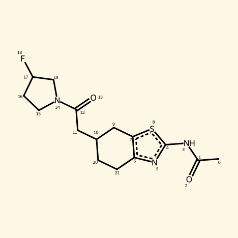 CC(=O)Nc1nc2c(s1)CC(CC(=O)N1CCC(F)C1)CC2